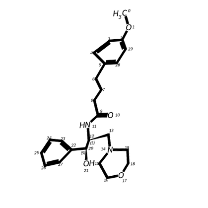 COc1ccc(CCCC(=O)N[C@@H](CN2CCOCC2)[C@@H](O)c2ccccc2)cc1